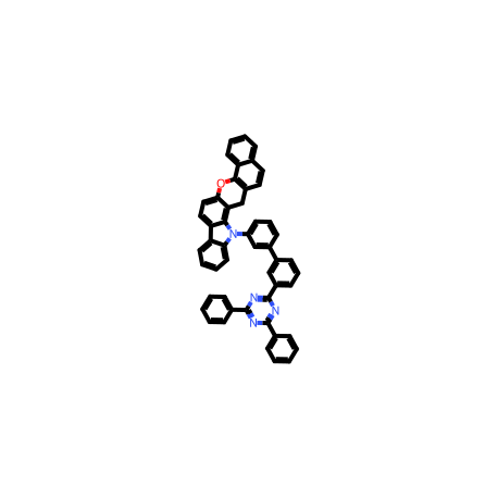 c1ccc(-c2nc(-c3ccccc3)nc(-c3cccc(-c4cccc(-n5c6ccccc6c6ccc7c(c65)Cc5ccc6ccccc6c5O7)c4)c3)n2)cc1